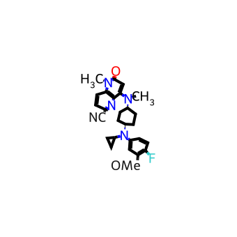 COc1cc(N(C2CC2)[C@H]2CC[C@@H](N(C)c3cc(=O)n(C)c4ccc(C#N)nc34)CC2)ccc1F